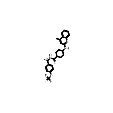 Cc1cc(NC2CCC(C(=O)N[C@H](C)c3ccc(OC(F)(F)F)cc3)CC2)nc2ccccc12